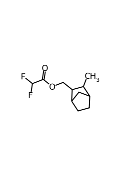 CC1C2CCC(C2)C1COC(=O)C(F)F